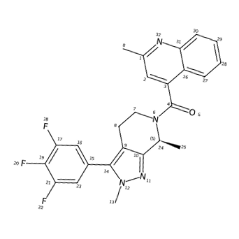 Cc1cc(C(=O)N2CCc3c(nn(C)c3-c3cc(F)c(F)c(F)c3)[C@@H]2C)c2ccccc2n1